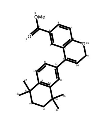 COC(=O)c1ccc2c(c1)C(c1ccc3c(c1)C(C)(C)CCC3(C)C)=CCO2